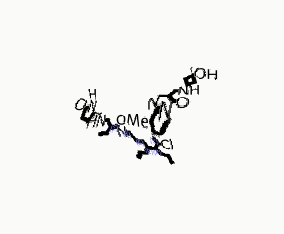 C=C/C=C(C(\Cl)=C\[C@H]1C=CN2C(=O)C(CN[C@H]3C[C@](C)(O)C3)CN=C2C1)/C(/C=C/C=N/C(OC)=C(\C=C)CNC[C@@H]1CCC(=O)N1)=C/C=C